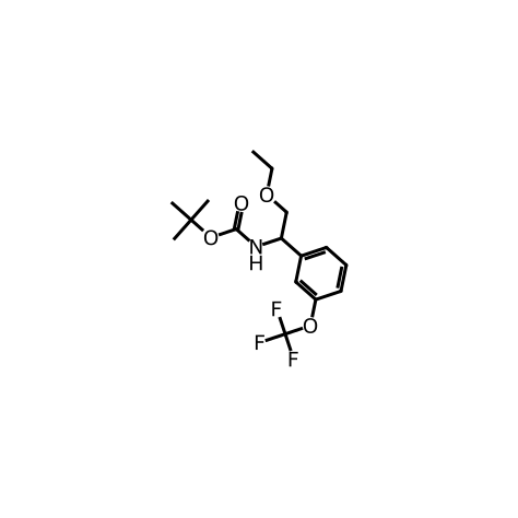 CCOCC(NC(=O)OC(C)(C)C)c1cccc(OC(F)(F)F)c1